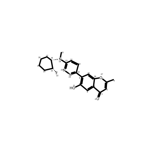 Cc1cc(=O)c2cc(O)c(-c3ccc(N(C)[C@H]4CCCC[C@H]4F)nn3)cc2o1